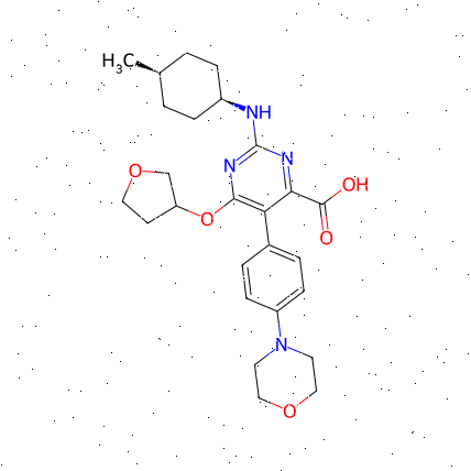 C[C@H]1CC[C@@H](Nc2nc(OC3CCOC3)c(-c3ccc(N4CCOCC4)cc3)c(C(=O)O)n2)CC1